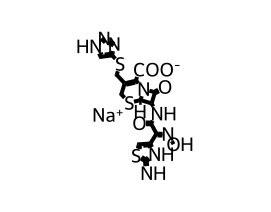 N=c1[nH]c(C(=NO)C(=O)NC2C(=O)N3C(C(=O)[O-])=C(CSc4c[nH]nn4)CS[C@@H]23)cs1.[Na+]